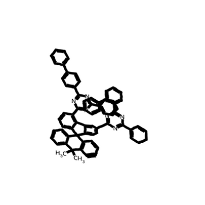 CC1(C)c2c#cccc2C2(c3ccc(-c4nc(C5=CCCC=C5)nc(-c5ccccc5-c5ccccc5)n4)cc3-c3c(-c4nc(-c5ccccc5)nc(-c5ccc(-c6ccccc6)cc5)n4)cccc32)c2ccccc21